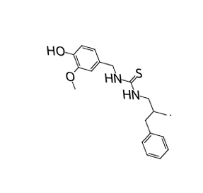 [CH2]C(CNC(=S)NCc1ccc(O)c(OC)c1)Cc1ccccc1